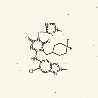 Cn1cnc(Cn2c(=O)nc(Nc3cc4cn(C)nc4cc3Cl)n(CC3CCC(F)(F)CC3)c2=O)n1